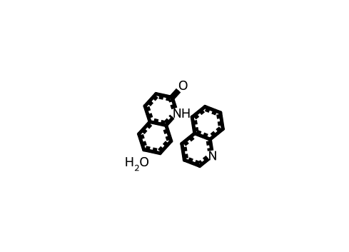 O.O=c1ccc2ccccc2[nH]1.c1ccc2ncccc2c1